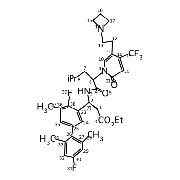 CCOC(=O)C[C@H](NC(=O)C(CC(C)C)n1cc(CCN2CCC2)c(C(F)(F)F)cc1=O)c1cc(-c2c(C)cc(F)cc2C)cc(C)c1F